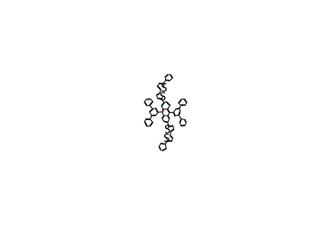 c1ccc(-c2cc(-c3ccccc3)cc(-c3c4ccc(-c5ccc(-c6ccc(-c7ccccc7)s6)s5)cc4c(-c4cc(-c5ccccc5)cc(-c5ccccc5)c4)c4ccc(-c5ccc(-c6ccc(-c7ccccc7)s6)s5)cc34)c2)cc1